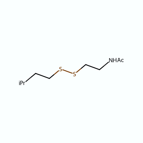 CC(=O)NCCSSCCC(C)C